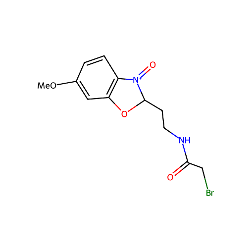 COc1ccc2c(c1)OC(CCNC(=O)CBr)[N+]2=O